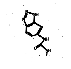 CNC(=O)Nc1ccc2nn[nH]c2c1